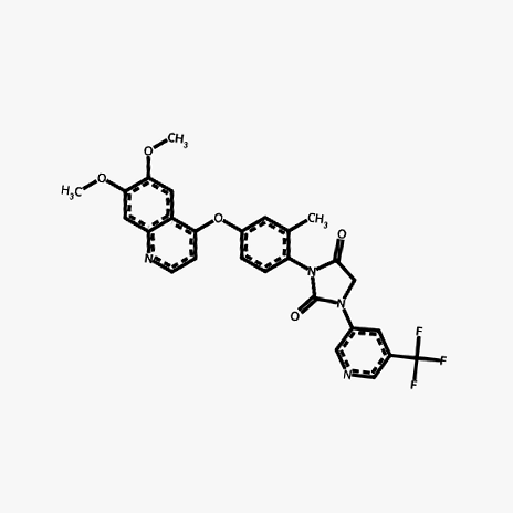 COc1cc2nccc(Oc3ccc(N4C(=O)CN(c5cncc(C(F)(F)F)c5)C4=O)c(C)c3)c2cc1OC